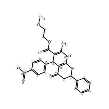 COCCOC(=O)C1=C(C)NC2=C(C(=O)CC(c3ccccc3)C2)C1c1ccc([N+](=O)[O-])cc1